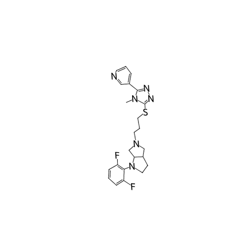 Cn1c(SCCCN2CC3CCN(c4c(F)cccc4F)C3C2)nnc1-c1cccnc1